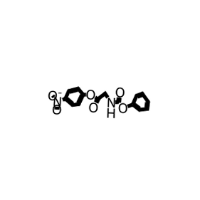 O=C(CNC(=O)Oc1ccccc1)Oc1ccc([N+](=O)[O-])cc1